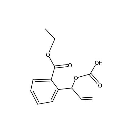 C=CC(OC(=O)O)c1ccccc1C(=O)OCC